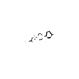 CC(C)C(CS(=O)(=O)N1CCN(c2ccc(Br)cc2)CC1)C(=O)O